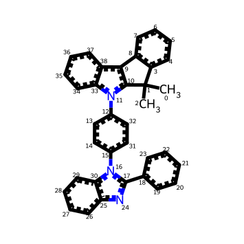 CC1(C)c2ccccc2-c2c1n(-c1ccc(-n3c(-c4ccccc4)nc4ccccc43)cc1)c1ccccc21